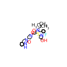 CC(C)(C)CCN1C(=O)[C@H](CC(=O)N2CCC(N3CCc4ccccc4NC3=O)CC2)SC1c1cccc(F)c1N1CC[C@@H](O)C1